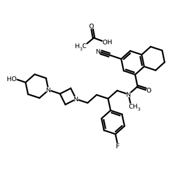 CC(=O)O.CN(CC(CCN1CC(N2CCC(O)CC2)C1)c1ccc(F)cc1)C(=O)c1cc(C#N)cc2c1CCCC2